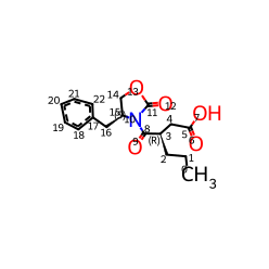 CCC[C@H](CC(=O)O)C(=O)N1C(=O)OC[C@@H]1Cc1ccccc1